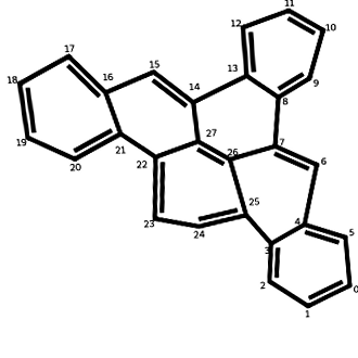 c1ccc2c(c1)cc1c3ccccc3c3cc4ccccc4c4ccc2c1c43